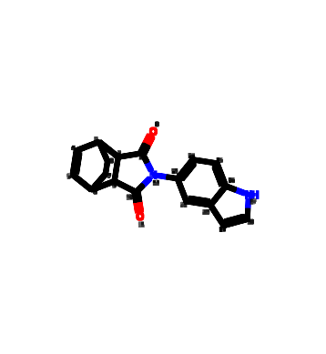 O=C1C2C3C=CC(CC3)C2C(=O)N1c1ccc2[nH]ccc2c1